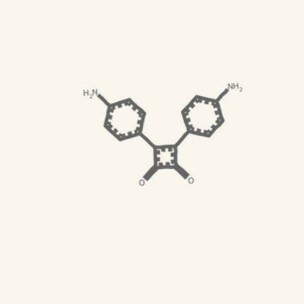 Nc1ccc(-c2c(-c3ccc(N)cc3)c(=O)c2=O)cc1